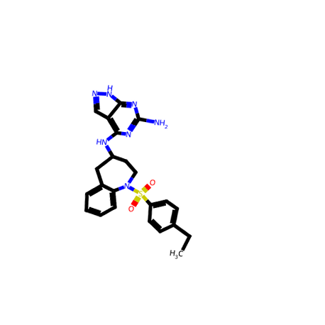 CCc1ccc(S(=O)(=O)N2CCC(Nc3nc(N)nc4[nH]ncc34)Cc3ccccc32)cc1